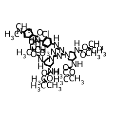 CN(C)c1ccc(C(=O)Nc2ccc(Nc3nc(N4C[C@H](NC(=O)OC(C)(C)C)C[C@H](NC(=O)OC(C)(C)C)C4)nc(N4C[C@H](NC(=O)OC(C)(C)C)C[C@H](NC(=O)OC(C)(C)C)C4)n3)cc2Cl)c(O)c1